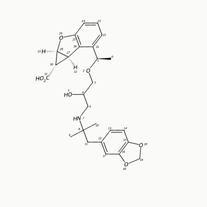 C[C@@H](OCC(O)CNC(C)(C)Cc1ccc2c(c1)OCO2)c1cccc2c1[C@@H]1[C@H](O2)[C@H]1C(=O)O